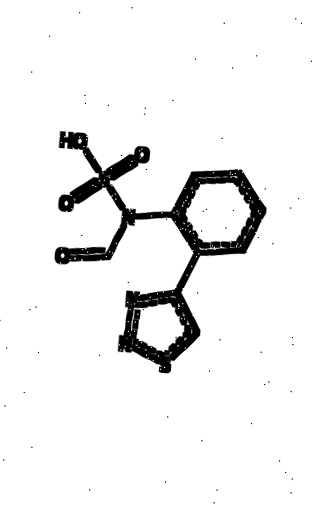 O=CN(c1ccccc1-c1csnn1)S(=O)(=O)O